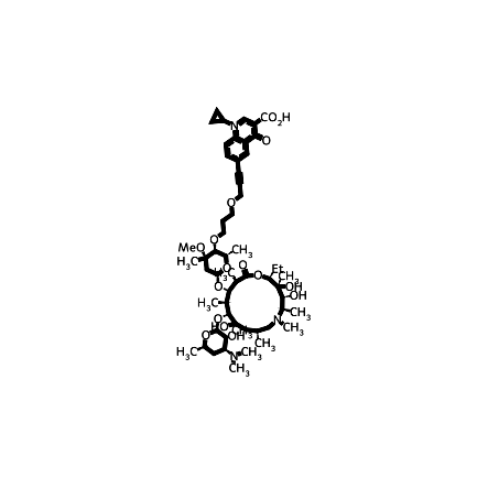 CC[C@H]1OC(=O)[C@H](C)[C@@H](O[C@H]2C[C@@](C)(OC)[C@@H](OCCCOCC#Cc3ccc4c(c3)c(=O)c(C(=O)O)cn4C3CC3)[C@H](C)O2)[C@H](C)[C@@H](O[C@@H]2O[C@H](C)C[C@H](N(C)C)[C@H]2O)[C@](C)(O)C[C@@H](C)CN(C)[C@H](C)[C@@H](O)[C@]1(C)O